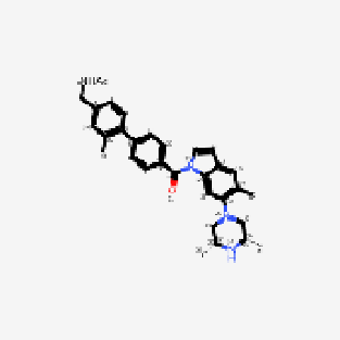 CC(=O)NCc1ccc(-c2ccc(C(=O)n3ccc4cc(C)c(N5C[C@@H](C)N[C@@H](C)C5)cc43)cc2)c(C)c1